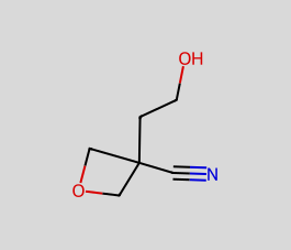 N#CC1(CCO)COC1